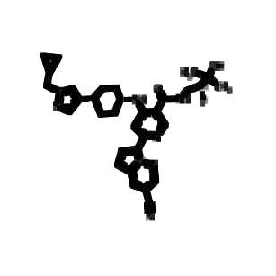 CC(C)(O)[C@H](F)CNC(=O)c1cnc(-c2ccc3cc(C#N)cnn23)cc1N[C@H]1CC[C@H](c2cnn(CC3CC3)c2)CC1